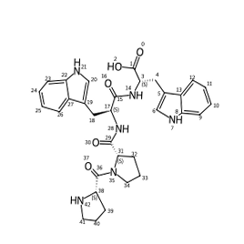 O=C(O)[C@H](Cc1c[nH]c2ccccc12)NC(=O)[C@H](Cc1c[nH]c2ccccc12)NC(=O)[C@@H]1CCCN1C(=O)[C@@H]1CCCN1